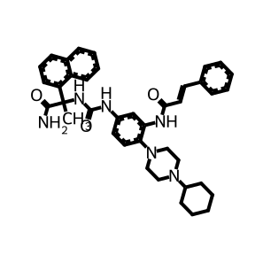 CC(NC(=O)Nc1ccc(N2CCN(C3CCCCC3)CC2)c(NC(=O)C=Cc2ccccc2)c1)(C(N)=O)c1cccc2ccccc12